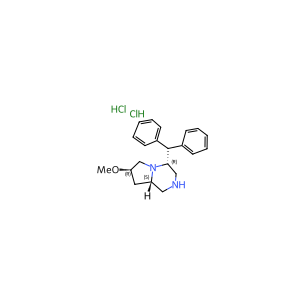 CO[C@@H]1C[C@H]2CNC[C@@H](C(c3ccccc3)c3ccccc3)N2C1.Cl.Cl